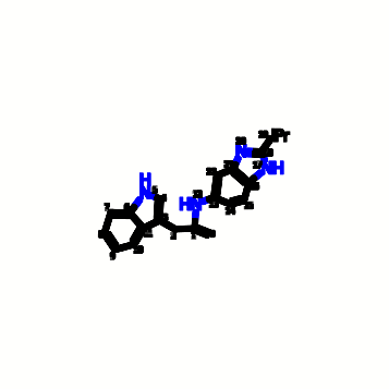 C=C(Cc1c[nH]c2ccccc12)Nc1ccc2[nH]c(C(C)C)nc2c1